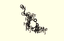 CO[C@@H](C)c1ncccc1-c1c2c3cc(ccc3n1C)-c1cccc(c1)C[C@H](NC(=O)[C@H](C(C)C)N1CCC3(CN(C(=O)C#CCN4CCOCC4)C3)C1=O)C(=O)N1CCC[C@H](N1)C(=O)OCC(C)(C)C2